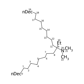 CCCCCCCCCCCCCCCCCCC(CC)(CCCCCCCCCCCCCCCCCC)N(C)C